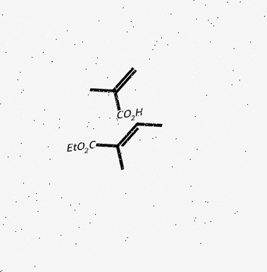 C=C(C)C(=O)O.CC=C(C)C(=O)OCC